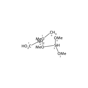 COC.CO[SiH](OC)OC.NC(=O)O